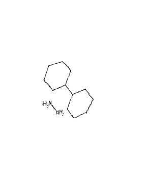 C1CCC(C2CCCCC2)CC1.NN